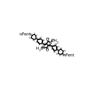 CCCCC[C@H]1CC[C@H](c2ccc(C3=C4C(=O)N(C)C(c5ccc([C@H]6CC[C@H](CCCCC)CC6)cc5)=C4C(=O)N3C)cc2)CC1